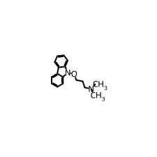 CN(C)CCCOn1c2ccccc2c2ccccc21